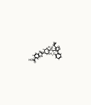 Cc1ccccc1-c1noc(C2(C)CC2)c1COC1CCN(c2nc3ccc(C(=O)O)cc3s2)CC1